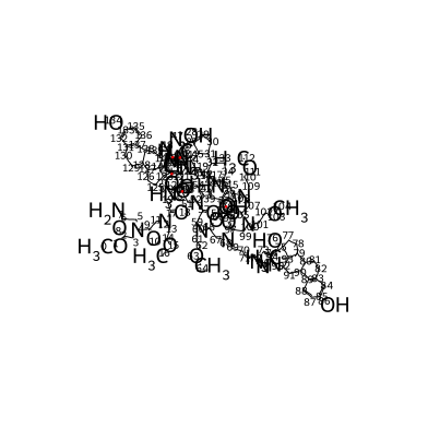 COCCN(CC(N)=O)C(=O)CN(CCOC)C(=O)CN(CCCn1cc(C2(O)CCC3C4CCc5cc(O)ccc5C4CCC32C)nn1)C(=O)CN(CCOC)C(=O)CN(CCOC)C(=O)CN(CCCn1cc(C2(O)CCC3C4CCc5cc(O)ccc5C4CCC32C)nn1)C(=O)CN(CCOC)C(=O)CN(CCOC)C(=O)CNCCCn1cc(C2(O)CCC3C4CCc5cc(O)ccc5C4CCC32C)nn1